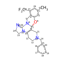 Cc1ccc(CN2C(=O)C3=C(CCN(Cc4ccccc4)C3)N3CCN=C23)c(C(F)(F)F)c1